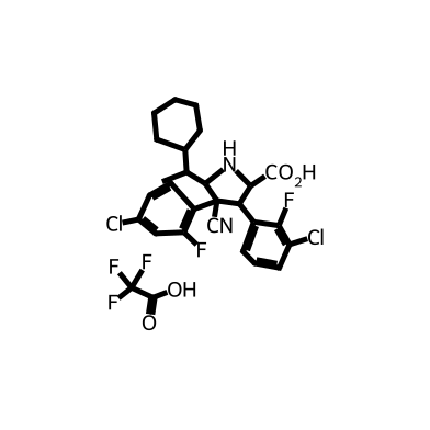 CC(C1CCCCC1)C1NC(C(=O)O)C(c2cccc(Cl)c2F)C1(C#N)c1ccc(Cl)cc1F.O=C(O)C(F)(F)F